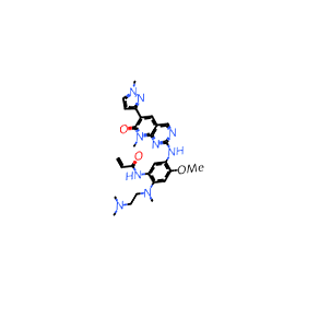 C=CC(=O)Nc1cc(Nc2ncc3cc(-c4ccn(C)n4)c(=O)n(C)c3n2)c(OC)cc1N(C)CCN(C)C